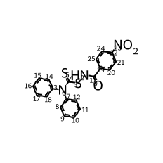 O=C(NSC(=S)N(c1ccccc1)c1ccccc1)c1ccc([N+](=O)[O-])cc1